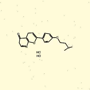 CN(C)CCOc1ccc(C2=CCC3=C(N=CCC3=O)O2)cc1.Cl.Cl